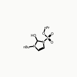 CCCCN1C=CN(S(=O)(=O)OCCC)C1O